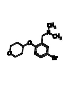 CN(C)Cc1cc(Br)ccc1OC1CCOCC1